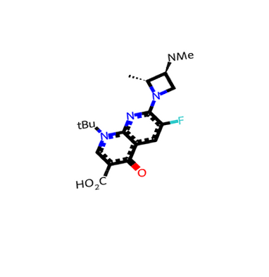 CN[C@H]1CN(c2nc3c(cc2F)c(=O)c(C(=O)O)cn3C(C)(C)C)[C@@H]1C